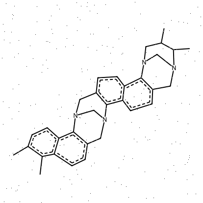 Cc1ccc2c3c(ccc2c1C)CN1CN3Cc2ccc3c4c(ccc3c21)CN1CN4CC(C)C1C